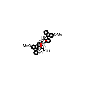 CCC[C@@H](O)[C@H]1O[C@@H](n2ccc(NC(c3ccccc3)(c3ccccc3)c3ccc(OC)cc3)nc2=O)C(F)(F)[C@@H]1OC(c1ccccc1)(c1ccccc1)c1ccc(OC)cc1